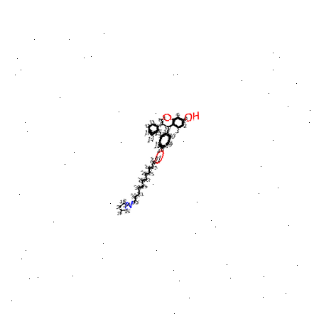 Oc1ccc2c(c1)OC[C@@H](c1ccccc1)[C@@H]2c1ccc(OCCCCCCCCCCCCN2CCCC2)cc1